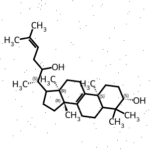 CC(C)=CCC(O)[C@@H](C)C1CC[C@@]2(C)C3=C(CC[C@]12C)[C@@]1(C)CC[C@H](O)C(C)(C)C1CC3